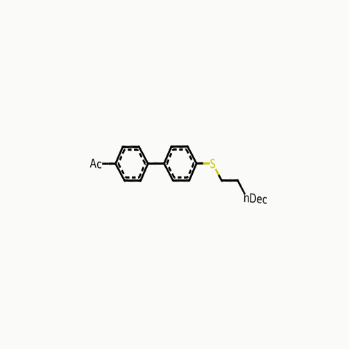 CCCCCCCCCCCCSc1ccc(-c2ccc(C(C)=O)cc2)cc1